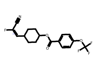 N#C/C(F)=C\C1CCC(OC(=O)c2ccc(OC(F)(F)F)cc2)CC1